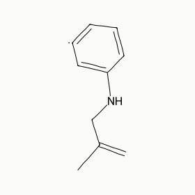 C=C(C)CNc1c[c]ccc1